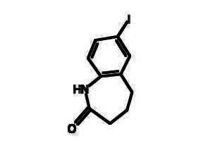 O=C1CCCc2cc(I)ccc2N1